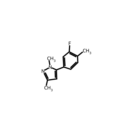 Cc1cc(-c2ccc(C)c(F)c2)n(C)n1